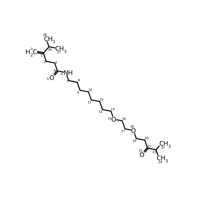 C=C(CCC(=O)NCCCCCCCCOCCOCCC(=O)C(C)C)C(C)C